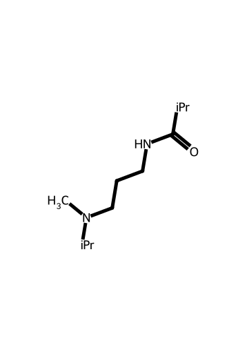 CC(C)C(=O)NCCCN(C)C(C)C